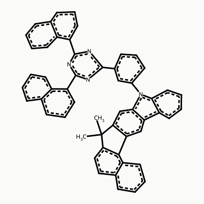 CC1(C)c2cc3c(cc2-c2c1ccc1ccccc21)c1ccccc1n3-c1cccc(-c2nc(-c3cccc4ccccc34)nc(-c3cccc4ccccc34)n2)c1